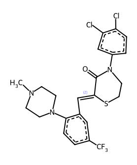 CN1CCN(c2ccc(C(F)(F)F)cc2/C=C2\SCCN(c3ccc(Cl)c(Cl)c3)C2=O)CC1